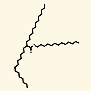 CCCCCC/C=C\CCCCCCC(CCCCCCCCCCCCC)C(=O)OCCCCCCCCCCCCC